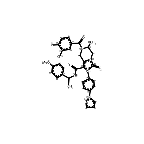 COc1ccc(C(C)NC(=O)c2c3n(c(=O)n2-c2ccc(-n4cccn4)cc2)CC(C)N(C(=O)c2ccc(Br)c(Cl)c2)C3)cc1